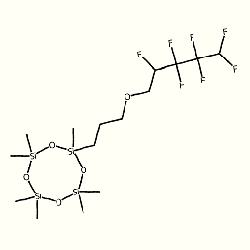 C[Si]1(C)O[Si](C)(C)O[Si](C)(CCCOCC(F)C(F)(F)C(F)(F)C(F)F)O[Si](C)(C)O1